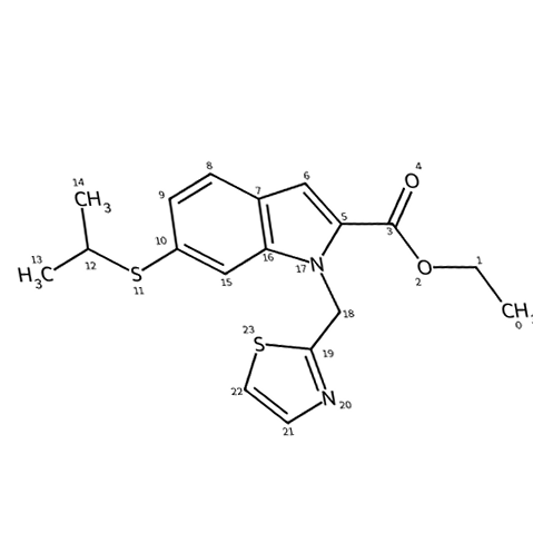 CCOC(=O)c1cc2ccc(SC(C)C)cc2n1Cc1nccs1